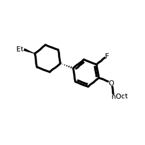 CCCCCCCCOc1ccc([C@H]2CC[C@H](CC)CC2)cc1F